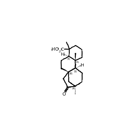 CC1(C(=O)O)CCC[C@@]2(C)[C@H]1CC[C@@]13CC(=O)[C@](C)(CC[C@@H]12)C3